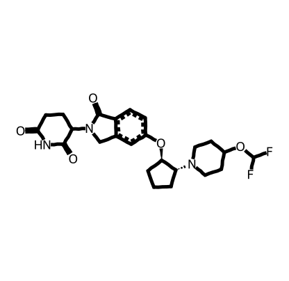 O=C1CCC(N2Cc3cc(O[C@@H]4CCC[C@H]4N4CCC(OC(F)F)CC4)ccc3C2=O)C(=O)N1